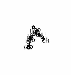 CC(=O)N[C@@H](CCCCN1C(=O)C=CC1=O)C(=O)NCC(=O)NCC(=O)NC(Cc1ccccc1)C(=O)NCC(=O)NCOCC(=O)O